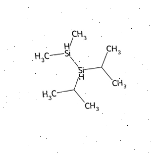 CC(C)[SiH](C(C)C)[SiH](C)C